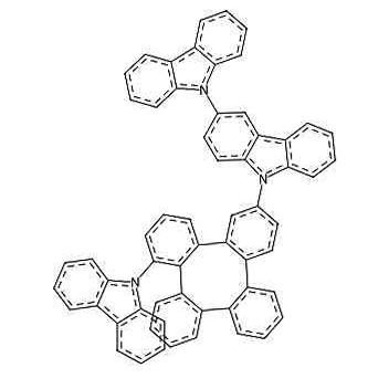 c1ccc2c(c1)-c1ccc(-n3c4ccccc4c4cc(-n5c6ccccc6c6ccccc65)ccc43)cc1-c1cccc(-n3c4ccccc4c4ccccc43)c1-c1ccccc1-2